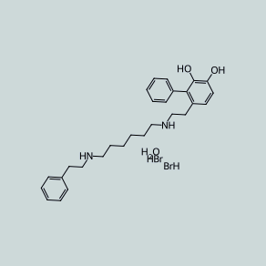 Br.Br.O.Oc1ccc(CCNCCCCCCNCCc2ccccc2)c(-c2ccccc2)c1O